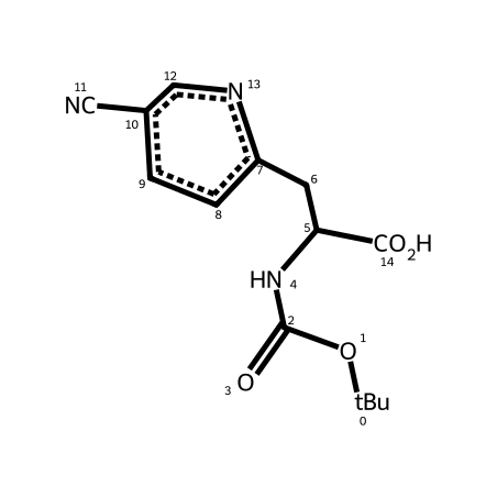 CC(C)(C)OC(=O)NC(Cc1ccc(C#N)cn1)C(=O)O